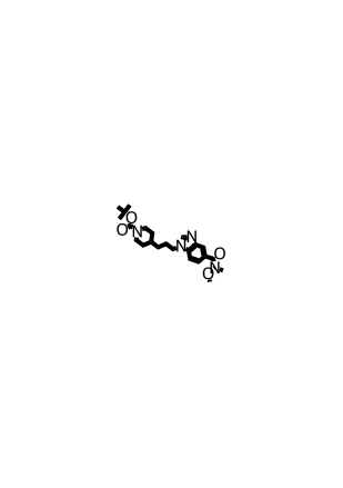 CON(C)C(=O)c1ccc2c(c1)ncn2CCCC1CCN(C(=O)OC(C)(C)C)CC1